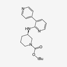 CC(C)(C)OC(=O)N1CCC[C@@H](Nc2ncccc2-c2ccncc2)C1